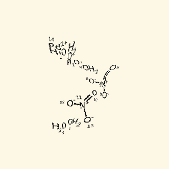 O.O.O.O.O.O.O=[N+]([O-])[O-].O=[N+]([O-])[O-].[Pd+2]